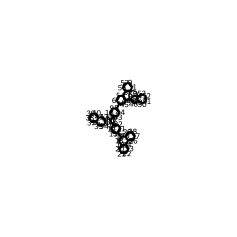 c1ccc(-c2ccc(-c3ccc(N(c4ccc(-c5cc6ccccc6c6ccccc56)cc4)c4ccc5ccccc5c4)cc3)cc2-c2cc3ccccc3o2)cc1